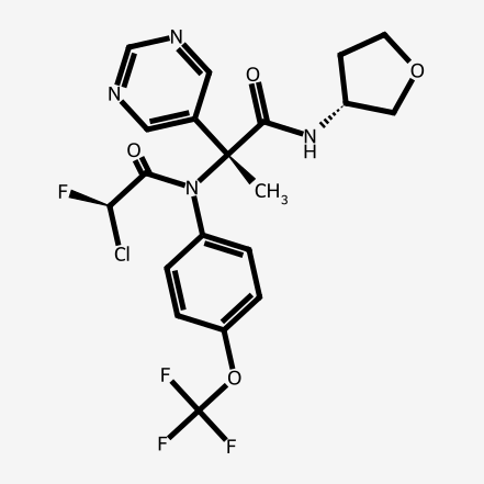 C[C@](C(=O)N[C@@H]1CCOC1)(c1cncnc1)N(C(=O)[C@H](F)Cl)c1ccc(OC(F)(F)F)cc1